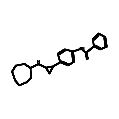 O=C(Nc1ccc(C2CC2NC2CCCCCCC2)cc1)c1ccccc1